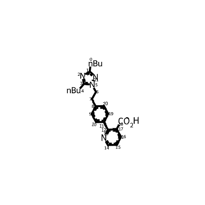 CCCCc1nc(CCCC)n(CCc2ccc(-c3ncccc3C(=O)O)cc2)n1